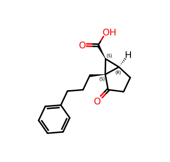 O=C(O)[C@H]1[C@H]2CCC(=O)[C@@]21CCCc1ccccc1